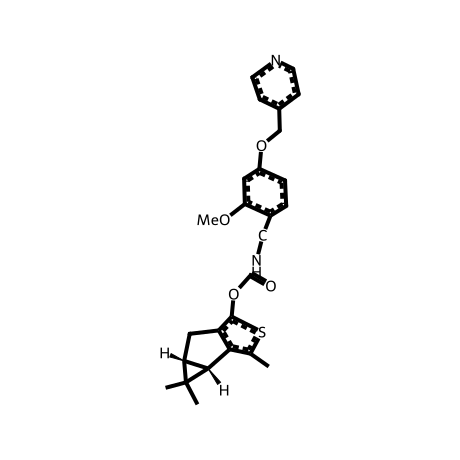 COc1cc(OCc2ccncc2)ccc1CNC(=O)Oc1sc(C)c2c1C[C@@H]1[C@H]2C1(C)C